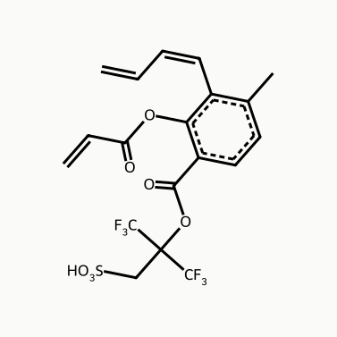 C=C/C=C\c1c(C)ccc(C(=O)OC(CS(=O)(=O)O)(C(F)(F)F)C(F)(F)F)c1OC(=O)C=C